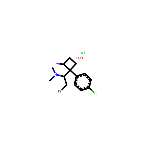 CC(C)CC(N(C)C)C1(c2ccc(Cl)cc2)CCC1I.Cl.O